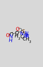 CC(C)n1ncnc1-c1nc2c(s1)CCOc1cc(-c3ccc(=O)[nH]c3)ccc1-2